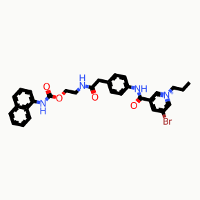 CCC[n+]1cc(Br)cc(C(=O)Nc2ccc(CC(=O)NCCOC(=O)Nc3cccc4ccccc34)cc2)c1